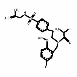 C=C(C)CNS(=O)(=O)c1ccc(CCN(Cc2cc(Cl)ccc2OCCC)C(=O)C(N)C(C)C)cc1